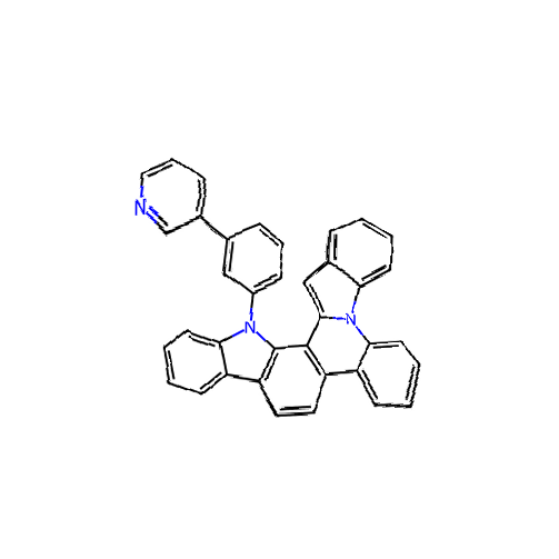 c1cncc(-c2cccc(-n3c4ccccc4c4ccc5c6ccccc6n6c7ccccc7cc6c5c43)c2)c1